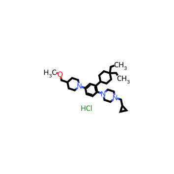 CCC1(CC)CCC(c2cc(N3CCC(COC)CC3)ccc2N2CCN(CC3CC3)CC2)CC1.Cl